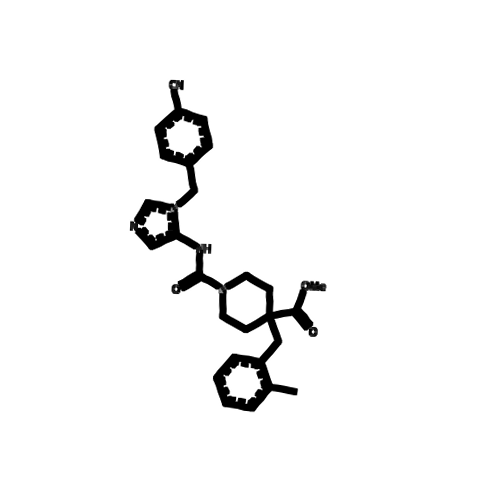 COC(=O)C1(Cc2ccccc2C)CCN(C(=O)Nc2cncn2Cc2ccc(C#N)cc2)CC1